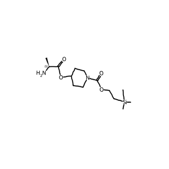 C[C@H](N)C(=O)OC1CCN(C(=O)OCC[Si](C)(C)C)CC1